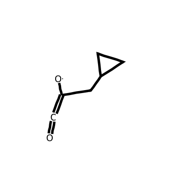 [O]C(=C=O)CC1CC1